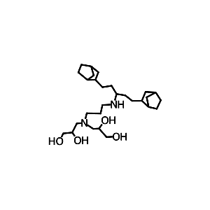 OCC(O)CN(CCCNC(CCC1CC2CCC1C2)CCC1CC2CCC1C2)CC(O)CO